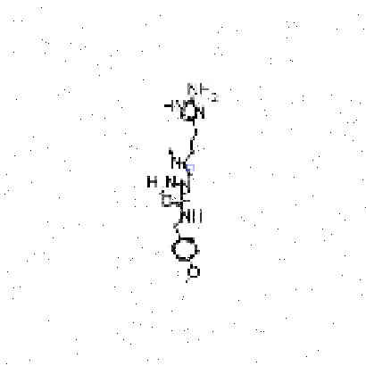 C=N/C(=C\N(N)CC(=O)NCc1ccc(OC)cc1)CCCc1c[nH]c(N)n1